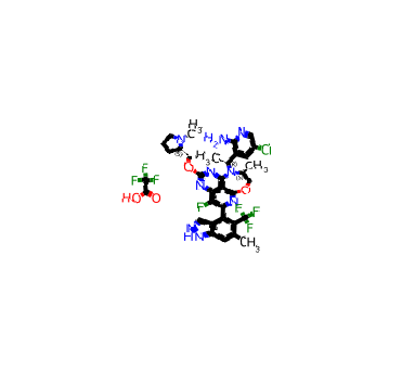 Cc1cc2[nH]ncc2c(-c2nc3c4c(nc(OC[C@@H]5CCCN5C)nc4c2F)N([C@H](C)c2cc(Cl)cnc2N)[C@@H](C)CO3)c1C(F)(F)F.O=C(O)C(F)(F)F